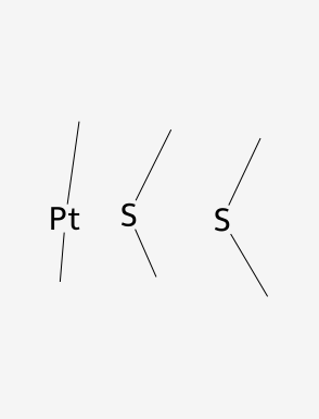 CSC.CSC.[CH3][Pt][CH3]